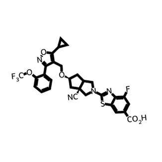 N#C[C@@]12C[C@@H](OCc3c(-c4ccccc4OC(F)(F)F)noc3C3CC3)CC1CN(c1nc3c(F)cc(C(=O)O)cc3s1)C2